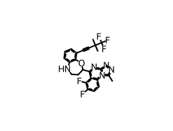 Cc1nnc2nc(C3CCNc4cccc(C#CC(C)(C)C(F)(F)F)c4O3)c3c(F)c(F)ccc3n12